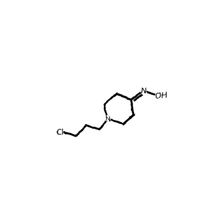 ON=C1CCN(CCCCl)CC1